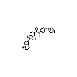 CN1CCN(Cc2ccc(NC(=O)c3ccc4nc(-c5ccc6c(c5)CCCN6C)[nH]c4c3)cc2)CC1